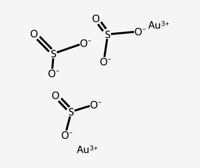 O=S([O-])[O-].O=S([O-])[O-].O=S([O-])[O-].[Au+3].[Au+3]